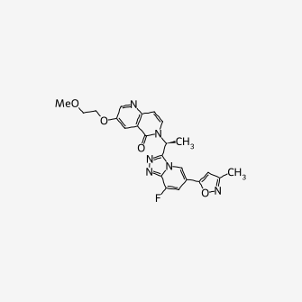 COCCOc1cnc2ccn([C@@H](C)c3nnc4c(F)cc(-c5cc(C)no5)cn34)c(=O)c2c1